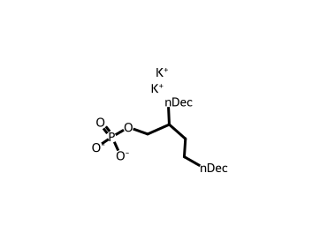 CCCCCCCCCCCCC(CCCCCCCCCC)COP(=O)([O-])[O-].[K+].[K+]